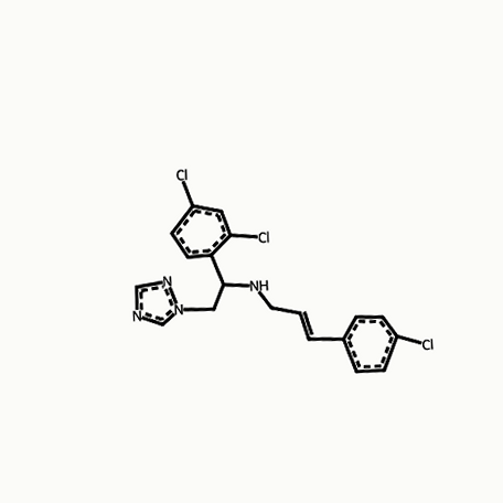 Clc1ccc(C=CCNC(Cn2cncn2)c2ccc(Cl)cc2Cl)cc1